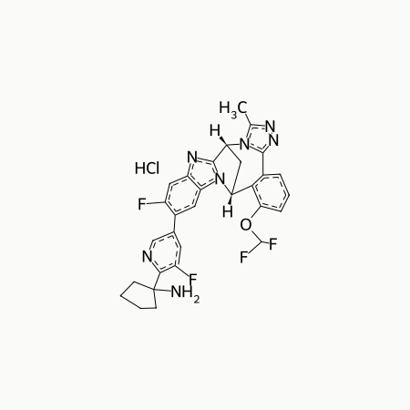 Cc1nnc2n1[C@@H]1C[C@H](c3c(OC(F)F)cccc3-2)n2c1nc1cc(F)c(-c3cnc(C4(N)CCCC4)c(F)c3)cc12.Cl